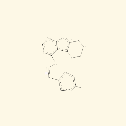 Cc1ccc(/C=N\Nc2ncnc3sc4c(c23)CCCC4)cc1